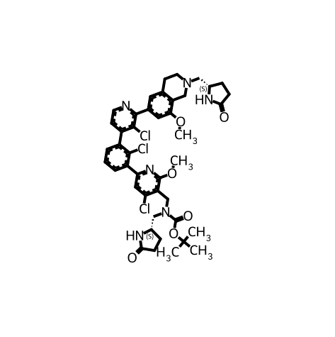 COc1cc(-c2nccc(-c3cccc(-c4cc(Cl)c(CN(C[C@@H]5CCC(=O)N5)C(=O)OC(C)(C)C)c(OC)n4)c3Cl)c2Cl)cc2c1CN(C[C@@H]1CCC(=O)N1)CC2